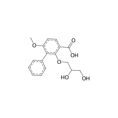 COc1ccc(C(=O)O)c(OCC(O)CO)c1-c1ccccc1